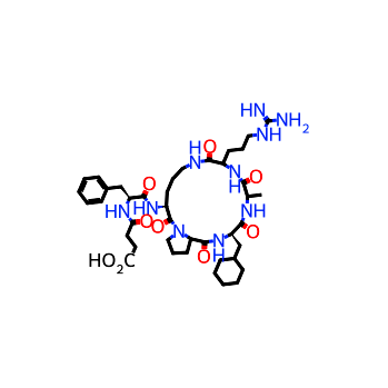 CC1NC(=O)[C@@H](CC2CCCCC2)NC(=O)C2CCCN2C(=O)[C@@H](NC(=O)[C@H](Cc2ccccc2)NC(=O)CCC(=O)O)CCCNC(=O)C(CCCNC(=N)N)NC1=O